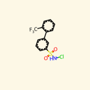 O=S(=O)(NCl)c1cccc(-c2ccccc2C(F)(F)F)c1